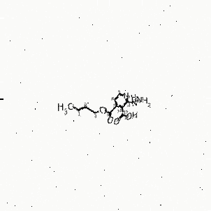 CCCCOC(=O)c1ccnc(NN)c1C(=O)O